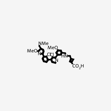 CNCc1ccc(-c2cccc(-c3ccnc(-c4cc(CNCC56CC(C(=O)O)(C5)C6)cc(OC)c4)c3Cl)c2Cl)nc1OC